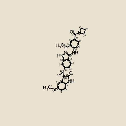 COc1ccc2c(c1)[C@]1(C[C@H]1c1ccc3c(Nc4ncc(C(=O)N5CCC5)cc4OC)n[nH]c3c1)C(=O)N2